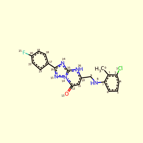 Cc1c(Cl)cccc1NCc1cc(=O)n2nc(-c3ccc(F)cc3)nc2[nH]1